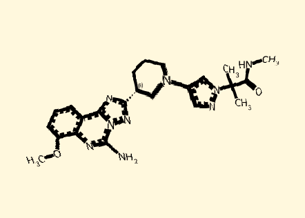 CNC(=O)C(C)(C)n1cc(N2CCC[C@@H](c3nc4c5cccc(OC)c5nc(N)n4n3)C2)cn1